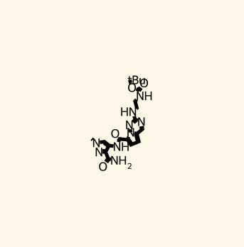 Cn1cc(NC(=O)c2ccc3cnc(NCCNC(=O)OC(C)(C)C)nn23)c(C(N)=O)n1